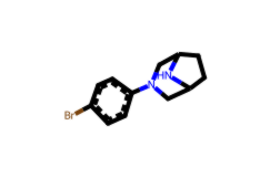 Brc1ccc(N2CC3CCC(C2)N3)cc1